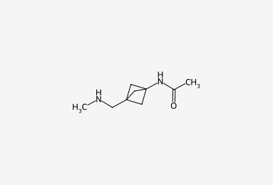 CNCC12CC(NC(C)=O)(C1)C2